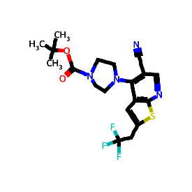 CC(C)(C)OC(=O)N1CCN(c2c(C#N)cnc3sc(CC(F)(F)F)cc23)CC1